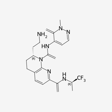 C=C(N[C@H](C)C(F)(F)F)c1ccc2c(n1)N(C(=C)NC1=CC=NN(C)C1=C)[C@@H](CCN)CC2